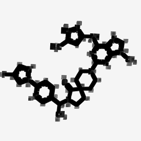 Cc1cc(Nc2nc(N3CCC4(CC3)CCN(C(C)c3ccc(-n5cc(F)cn5)nc3)C4=O)nc3c2ncn3C)n[nH]1